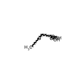 CCCCCCCCCOCC/C=C\CCCCCCC(=O)OC(CO)CO